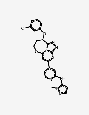 Cn1nccc1Nc1cc(-c2cc3n4c(nnc4c2)C(Oc2cccc(Cl)c2)CCO3)ccn1